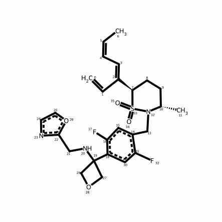 C=C/C(=C\C=C/C)[C@H]1CC[C@H](C)N(Cc2cc(F)c(C3(NCc4ncco4)COC3)cc2F)S1(=O)=O